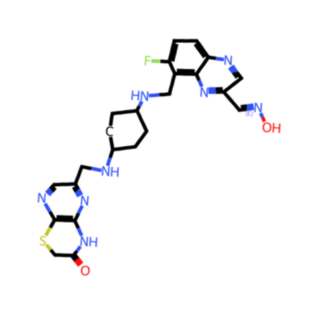 O=C1CSc2ncc(CNC3CCC(NCc4c(F)ccc5ncc(/C=N/O)nc45)CC3)nc2N1